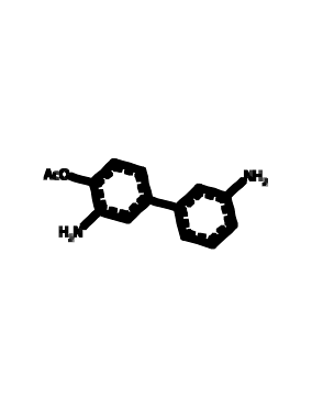 CC(=O)Oc1ccc(-c2cccc(N)c2)cc1N